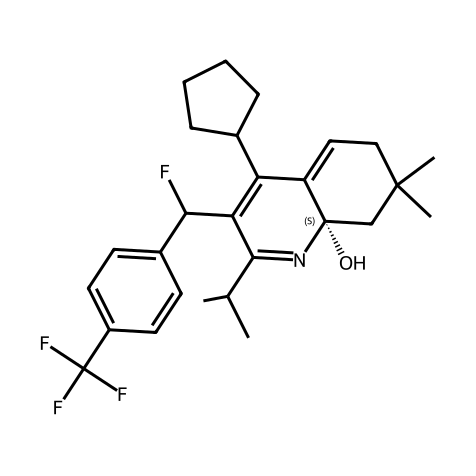 CC(C)C1=N[C@]2(O)CC(C)(C)CC=C2C(C2CCCC2)=C1C(F)c1ccc(C(F)(F)F)cc1